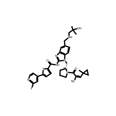 CC(C)(O)CNCc1ccc2c(c1)nc(NC(=O)c1ccc(-c3ccnc(F)c3)s1)n2C[C@H]1CCCN1C(=O)/C(C#N)=C\C1(C)CC1